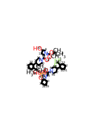 CC(C)(C)OC(=O)N1C[C@H](O)C[C@@H]1C(=O)N1CCC(c2ccccc2C(C)(C)C)CC1.O=C(CN(c1ccccc1)S(=O)(=O)O)N1CCC(c2ccccc2C(F)(F)F)CC1